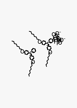 CCCCCCCCOc1ccc([S+](c2ccccc2)c2ccc(OCCCCCCCC)cc2)cc1.CCCCCCCCOc1ccc([S+](c2ccccc2)c2ccc(OCCCCCCCC)cc2)cc1.O=C([O-])C(F)(F)C(F)(F)C(F)(F)S(=O)(=O)[O-]